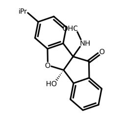 CC(C)c1ccc2c(c1)O[C@]1(O)c3ccccc3C(=O)C21NC=O